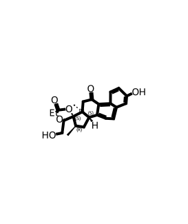 CCC(=O)O[C@@]1(C(=O)CO)[C@H](C)C[C@H]2c3ccc4cc(O)ccc4c3C(=O)C[C@@]21C